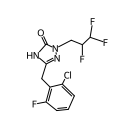 O=c1[nH]c(Cc2c(F)cccc2Cl)nn1CC(F)C(F)F